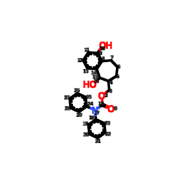 O=C(OCC1CCCc2c(O)cccc2C1O)N(c1ccccc1)c1ccccc1